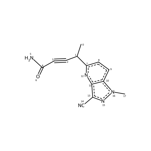 CC(C#CC(N)=O)c1ccc2c(n1)c(C#N)nn2C